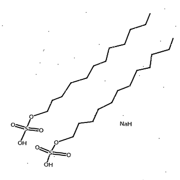 CCCCCCCCCCCCOS(=O)(=O)O.CCCCCCCCCCCCOS(=O)(=O)O.[NaH]